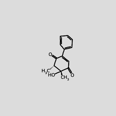 C[C@@H]1C(=O)C(c2ccccc2)=CC(=O)[C@]1(C)O